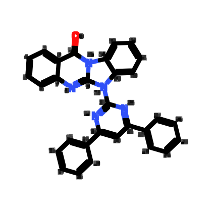 O=c1c2ccccc2nc2n(-c3nc(-c4ccccc4)cc(-c4ccccc4)n3)c3ccccc3n12